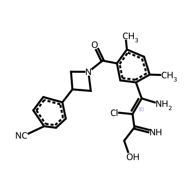 Cc1cc(C)c(/C(N)=C(\Cl)C(=N)CO)cc1C(=O)N1CC(c2ccc(C#N)cc2)C1